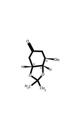 CC1(C)O[C@H]2[C@H](O)CC(=O)C[C@H]2O1